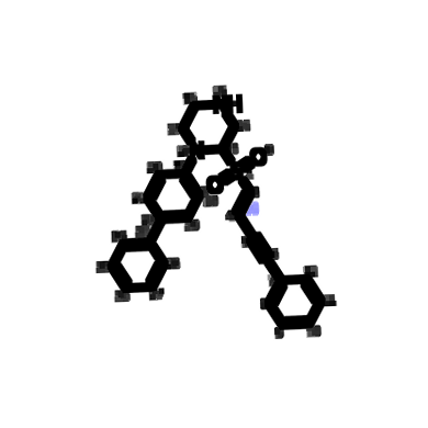 O=S(=O)(/C=C/C#Cc1ccccc1)C1CNCCN1c1ccc(-c2ccccc2)cc1